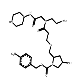 CC(=O)OCCN(CC(=O)NN1CCNCC1)C(=O)CCSCC1CC(O)CN1C(=O)OCc1ccc([N+](=O)[O-])cc1